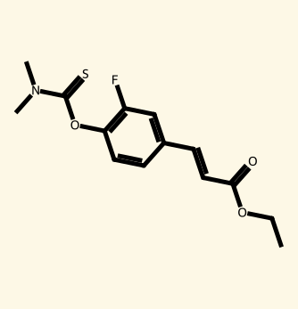 CCOC(=O)C=Cc1ccc(OC(=S)N(C)C)c(F)c1